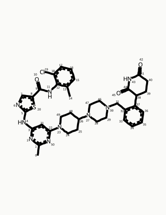 Cc1nc(Nc2ncc(C(=O)Nc3c(C)cccc3Cl)s2)cc(N2CCC(N3CCN(Cc4ccccc4C4CCC(=O)NC4=O)CC3)CC2)n1